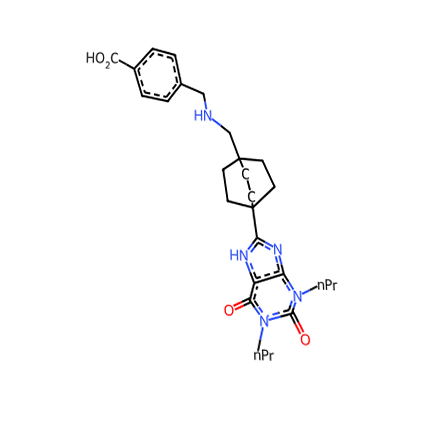 CCCn1c(=O)c2[nH]c(C34CCC(CNCc5ccc(C(=O)O)cc5)(CC3)CC4)nc2n(CCC)c1=O